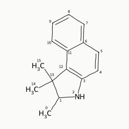 CC1Nc2ccc3ccccc3c2C1(C)C